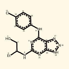 CCC(CO)Nc1nc(Nc2ccc(Cl)cc2)c2nn[nH]c2n1